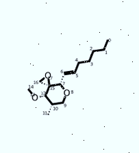 CCCCCC=C[C@@H]1OC[C@H](C)[C@H](OC)[C@]12CO2